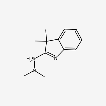 CN(C)[SiH2]C1=Nc2ccccc2C1(C)C